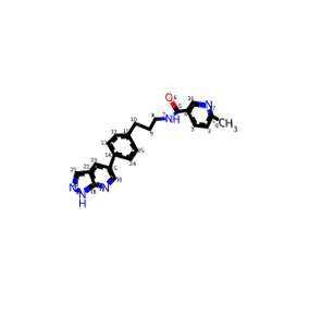 Cc1ccc(C(=O)NCCCc2ccc(-c3cnc4[nH]ncc4c3)cc2)cn1